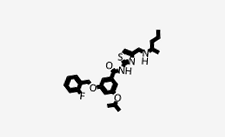 CCCC(C)NCc1csc(NC(=O)c2cc(OCc3ccccc3F)cc(OC(C)C)c2)n1